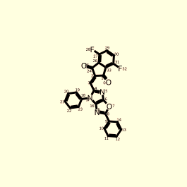 O=C1C(=Cc2nc3oc(-c4ccccc4)nc3n2-c2ccccc2)C(=O)c2c(F)ccc(F)c21